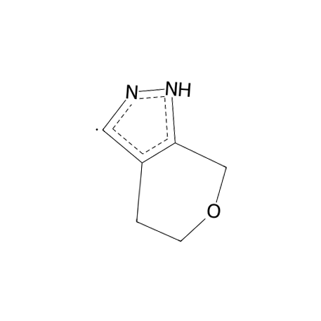 [c]1n[nH]c2c1CCOC2